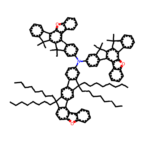 CCCCCCCCC1(CCCCCCCC)c2cc(N(c3ccc4c(c3)C(C)(C)c3c5c(c6oc7ccccc7c6c3-4)-c3ccccc3C5(C)C)c3ccc4c(c3)C(C)(C)c3c5c(c6oc7ccccc7c6c3-4)-c3ccccc3C5(C)C)ccc2-c2cc3c(cc21)-c1c(ccc2oc4ccccc4c12)C3(CCCCCCCC)CCCCCCCC